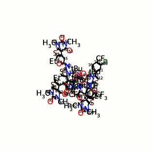 CCc1sc2c(c1CC(=O)/N=c1\scc(-c3ccc(C(F)(F)F)c(F)c3)n1C(OP(=O)(OC(n1c(-c3ccc(C(F)(F)F)c(F)c3)cs/c1=N\C(=O)Cc1c(CC)sc3c1c(=O)n(C)c(=O)n3C)(C(C)(C)C)C(C)(C)C)OC(n1c(-c3ccc(C(F)(F)F)c(F)c3)cs/c1=N\C(=O)Cc1c(CC)sc3c1c(=O)n(C)c(=O)n3C)(C(C)(C)C)C(C)(C)C)(C(C)(C)C)C(C)(C)C)c(=O)n(C)c(=O)n2C